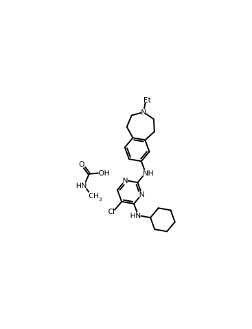 CCN1CCc2ccc(Nc3ncc(Cl)c(NC4CCCCC4)n3)cc2CC1.CNC(=O)O